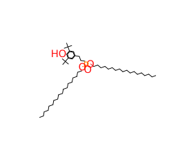 CCCCCCCCCCCCCCCCCCOP(=O)(CCCc1cc(C(C)(C)C)c(O)c(C(C)(C)C)c1)OCCCCCCCCCCCCCCCCCC